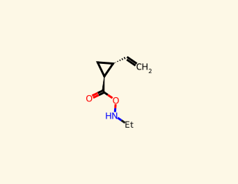 C=C[C@H]1C[C@@H]1C(=O)ONCC